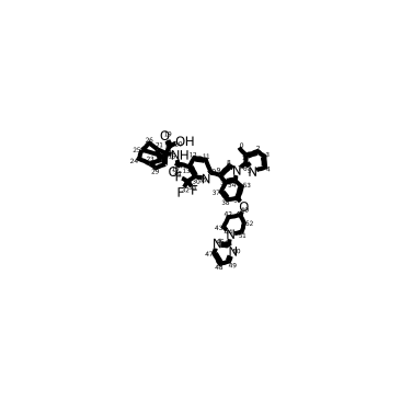 Cc1cccnc1-n1cc(-c2ccc(C(=O)NC3(C(=O)O)C4CC5CC(C4)CC3C5)c(C(F)(F)F)n2)c2ccc(OC3CCN(c4ncccn4)CC3)cc21